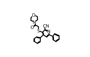 N#Cc1nc(-c2ccccc2)cc(-c2ccccc2)c1SCC(=O)N1CCOCC1